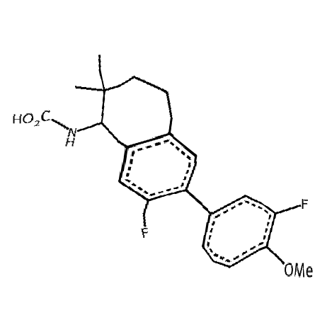 COc1ccc(-c2cc3c(cc2F)C(NC(=O)O)C(C)(C)CC3)cc1F